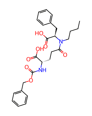 CCCCN(C(=O)CC[C@H](NC(=O)OCc1ccccc1)C(=O)O)[C@H](Cc1ccccc1)C(=O)O